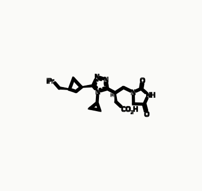 CC(C)C[C@H]1C[C@@H](c2nnc([C@H](CC(=O)O)CN3CC(=O)NC3=O)n2C2CC2)C1